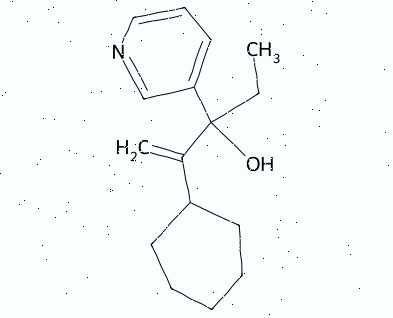 C=C(C1CCCCC1)C(O)(CC)c1cccnc1